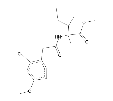 CCC(C)C(C)(NC(=O)Cc1ccc(OC)cc1Cl)C(=O)OC